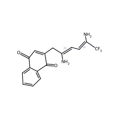 N/C(=C\C=C(/N)C(F)(F)F)CC1=CC(=O)c2ccccc2C1=O